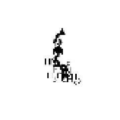 Cc1nc2c(F)cc(C3=CC(CCc4ncc(N5CCN(CC6CC6)CC5)cn4)NC=C3F)cc2n1C(C)C